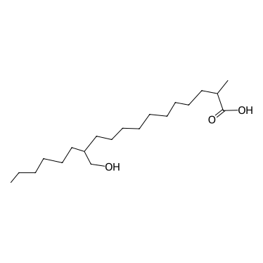 CCCCCCC(CO)CCCCCCCCCC(C)C(=O)O